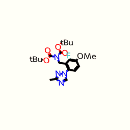 COc1ccc(-n2cnc(C)n2)c(CN(C(=O)OC(C)(C)C)C(=O)OC(C)(C)C)c1F